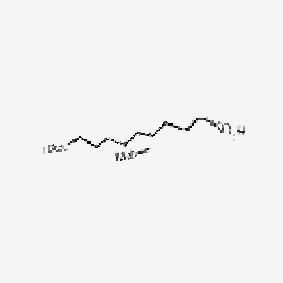 CCCCCCCCCCCCCCCCCCCS(=O)(=O)O.CNC